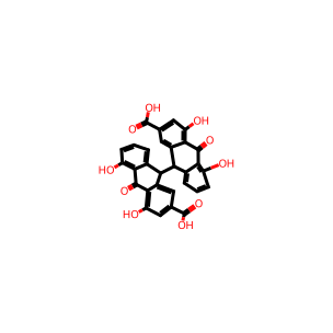 O=C(O)c1cc(O)c2c(c1)C(C1c3cccc(O)c3C(=O)c3c(O)cc(C(=O)O)cc31)c1cccc(O)c1C2=O